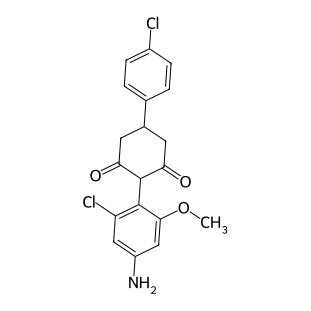 COc1cc(N)cc(Cl)c1C1C(=O)CC(c2ccc(Cl)cc2)CC1=O